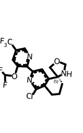 FC(F)Oc1cc(C(F)(F)F)cnc1-c1cc2c(c(Cl)n1)CCC[C@@]21COCN1